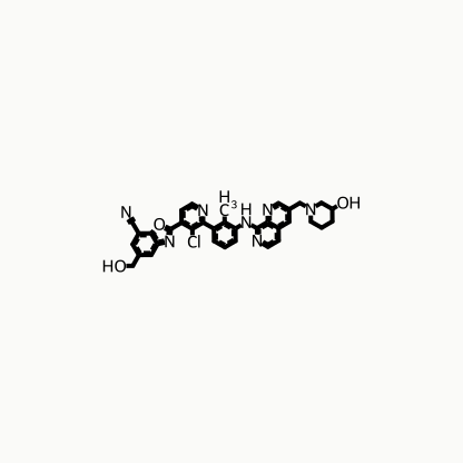 Cc1c(Nc2nccc3cc(CN4CCCC(O)C4)cnc23)cccc1-c1nccc(-c2nc3cc(CO)cc(C#N)c3o2)c1Cl